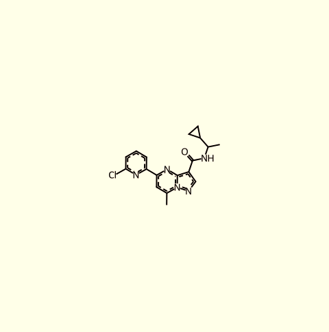 Cc1cc(-c2cccc(Cl)n2)nc2c(C(=O)NC(C)C3CC3)cnn12